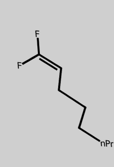 [CH2]CCCCCC=C(F)F